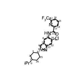 CC(C)[C@H]1CC[C@H](n2cc3cc(NC(=O)c4cccc(C(F)(F)F)n4)c(Cl)cc3n2)CC1